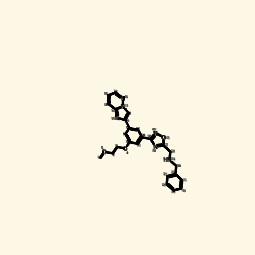 COCCOc1cc(-c2cn3ncccc3n2)cc(-c2noc(CNCc3ccccc3)n2)c1